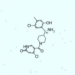 Cc1cc(O)c([C@H](N)C2CCN(C(=O)c3c[nH]c(=O)cc3Cl)CC2)cc1Cl